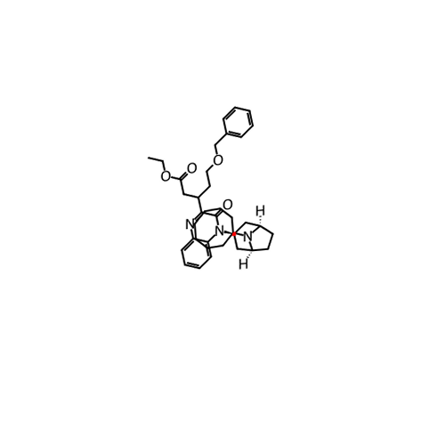 CCOC(=O)CC(CCOCc1ccccc1)c1nc2ccccc2n([C@H]2C[C@H]3CC[C@@H](C2)N3C2CCCCCCC2)c1=O